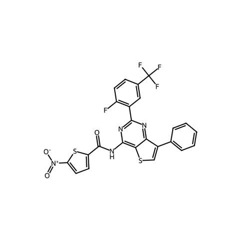 O=C(Nc1nc(-c2cc(C(F)(F)F)ccc2F)nc2c(-c3ccccc3)csc12)c1ccc([N+](=O)[O-])s1